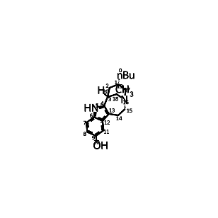 CCCC[C@H]1C[C@H]2c3[nH]c4ccc(O)cc4c3CC[N@@](C1)C2C